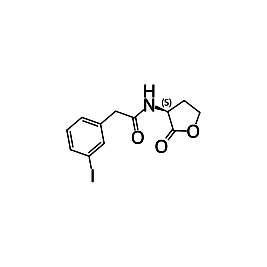 O=C(Cc1cccc(I)c1)N[C@H]1CCOC1=O